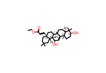 CCOC(=O)/C=C/[C@]12CCC(C)(C)C[C@H]1[C@H]1[C@H](O)C=C3[C@@]4(C)CC[C@H](O)C(C)(C)[C@@H]4CC[C@@]3(C)[C@]1(C)CC2